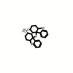 CC1CCC(C(C)C)C(SC2(c3ccccc3)CC(C)CCC2C(C)C)(c2ccccc2)C1